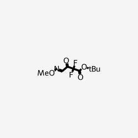 CON=CC(=O)C(F)(F)C(=O)OC(C)(C)C